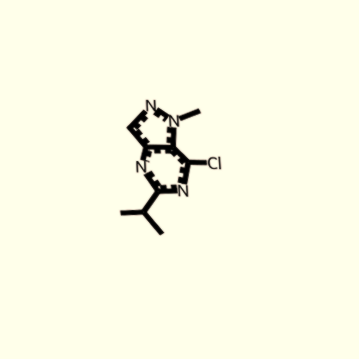 CC(C)c1nc(Cl)c2c(cnn2C)n1